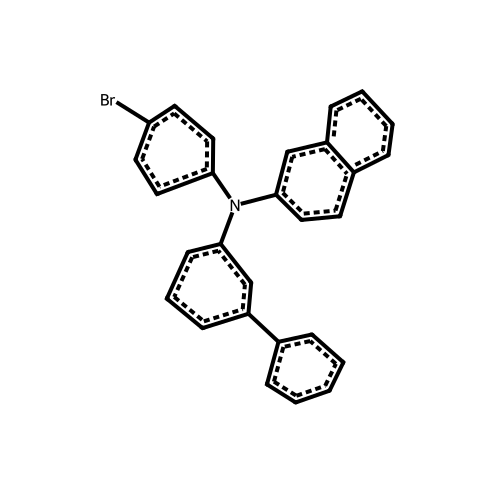 Brc1ccc(N(c2cccc(-c3ccccc3)c2)c2ccc3ccccc3c2)cc1